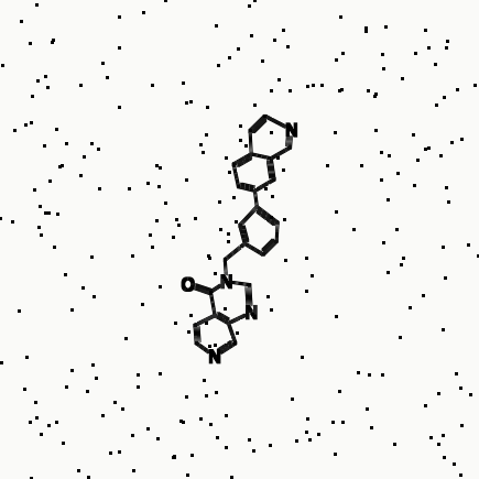 O=c1c2ccncc2ncn1Cc1cccc(-c2ccc3ccncc3c2)c1